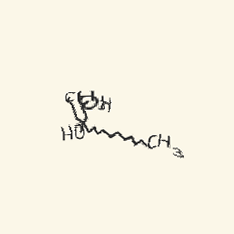 CCCCCCCCCCCCC(O)(CCO)CCCC